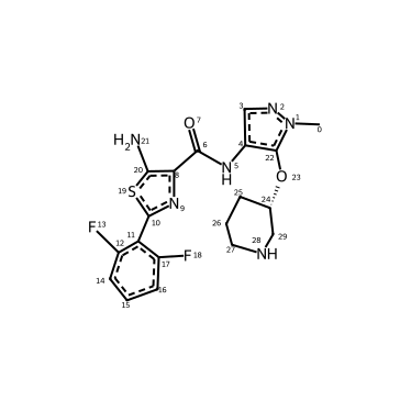 Cn1ncc(NC(=O)c2nc(-c3c(F)cccc3F)sc2N)c1O[C@H]1CCCNC1